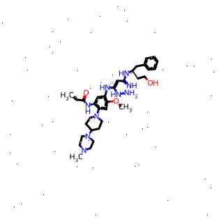 C=CC(=O)Nc1cc(N/C(=C/C(=N)N[C@H](CCO)Cc2ccccc2)NN)c(OC)cc1N1CCC(N2CCN(C)CC2)CC1